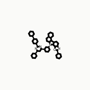 c1ccc(-c2ccc(-c3nc(-c4ccccc4)cc(-c4cccc(-n5c6ccc7ccccc7c6c6ccc7nc(-c8ccccc8)oc7c65)c4)n3)cc2)cc1